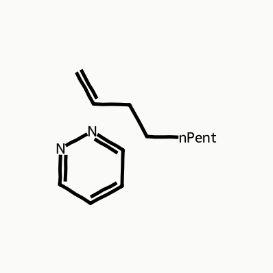 C=CCCCCCCC.c1ccnnc1